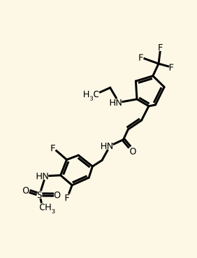 CCNc1cc(C(F)(F)F)ccc1/C=C/C(=O)NCc1cc(F)c(NS(C)(=O)=O)c(F)c1